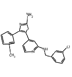 Cc1cccc(-c2nc(N)sc2-c2ccnc(NCc3cccc(Cl)c3)c2)c1